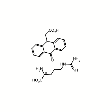 N=C(N)NCCC[C@H](N)C(=O)O.O=C(O)Cn1c2ccccc2c(=O)c2ccccc21